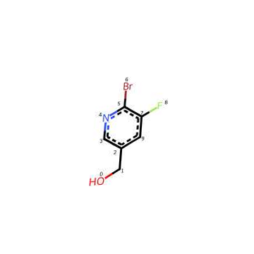 OCc1cnc(Br)c(F)c1